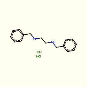 Cl.Cl.c1ccc(CNCCNCc2ccccc2)cc1